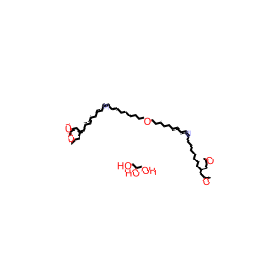 C(=C/CCCCCCCC(CC1CO1)CC1CO1)/CCCCCCCCOCCCCCCCC/C=C\CCCCCCCC(CC1CO1)CC1CO1.OCC(O)CO